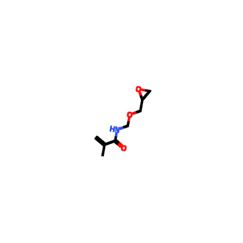 C=C(C)C(=O)NCOCC1CO1